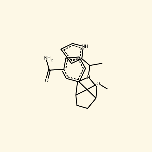 COC1(c2cccc(C(N)=O)c2)C2CCC1CN(C(C)c1ccc[nH]1)C2